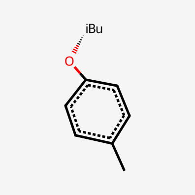 CC[C@@H](C)Oc1ccc(C)cc1